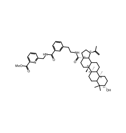 C=C(C)[C@@H]1CC[C@]2(C(=O)NCCc3cccc(C(=O)NCc4cccc(C(=O)OC)n4)c3)CC[C@]3(C)C(CCC4[C@@]5(C)CC[C@H](O)C(C)(C)C5CC[C@]43C)C12